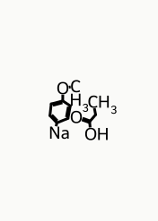 CCC(=O)O.COc1cc[c]([Na])cc1